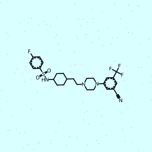 N#Cc1cc(N2CCN(CCC3CCC(NS(=O)(=O)c4ccc(F)cc4)CC3)CC2)cc(C(F)(F)F)c1